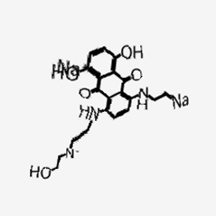 O=C1c2c(O)ccc(O)c2C(=O)c2c(NCC[N-]CCO)ccc(NC[CH2][Na])c21.[Na+]